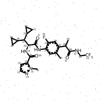 Cc1cc(NC(=O)[C@@H](NC(=O)c2ccnn2C)C(C2CC2)C2CC2)c(F)cc1C(C)C(=O)NCC(F)(F)F